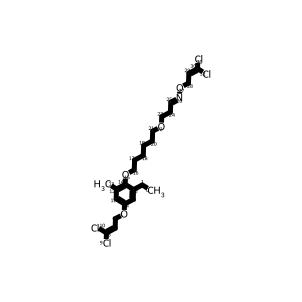 CCc1cc(OCC=C(Cl)Cl)cc(C)c1OCCCCCCOCCC=NOCC=C(Cl)Cl